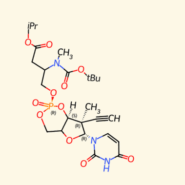 C#C[C@]1(C)[C@@H]2O[P@](=O)(OCC(CC(=O)OC(C)C)N(C)C(=O)OC(C)(C)C)OCC2O[C@H]1n1ccc(=O)[nH]c1=O